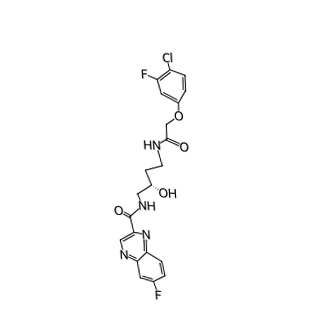 O=C(COc1ccc(Cl)c(F)c1)NCC[C@H](O)CNC(=O)c1cnc2cc(F)ccc2n1